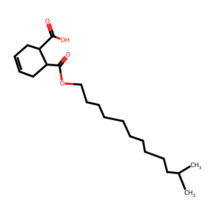 CC(C)CCCCCCCCCCOC(=O)C1CC=CCC1C(=O)O